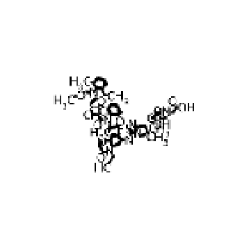 C#CCN1C(=O)COc2cc(F)c(/N=c3\snc4n3CC(C)(C)C4)cc21.CC1COc2ccccc2N1C(=O)C(Cl)Cl.CCOCN(C(=O)CCl)c1c(C)cccc1CC.O=C(O)CNCP(=O)(O)O